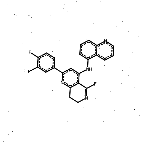 FC1=NCCc2nc(-c3ccc(F)c(F)c3)cc(Nc3cccc4ncccc34)c21